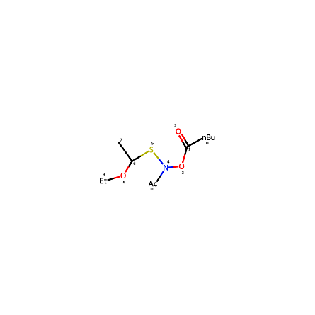 CCCCC(=O)ON(SC(C)OCC)C(C)=O